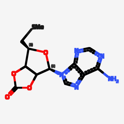 CSC[C@H]1O[C@@H](n2cnc3c(N)ncnc32)C2OC(=O)OC21